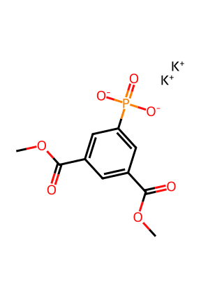 COC(=O)c1cc(C(=O)OC)cc(P(=O)([O-])[O-])c1.[K+].[K+]